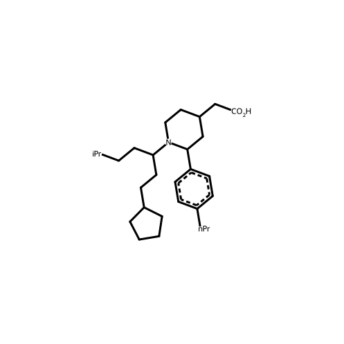 CCCc1ccc(C2CC(CC(=O)O)CCN2C(CCC(C)C)CCC2CCCC2)cc1